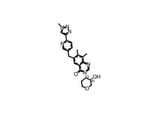 Cc1c(Cc2ccc(-c3cn(C)nn3)nc2)cc2c(=O)n([C@H]3CCOC[C@@H]3O)cnc2c1C